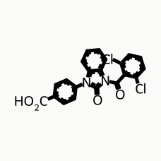 O=C(O)c1ccc(-n2c(=O)n(C(=O)c3c(Cl)cccc3Cl)c3ccccc32)cc1